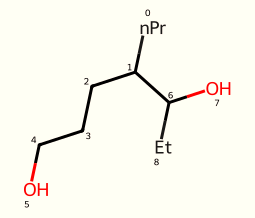 CCCC(CCCO)C(O)CC